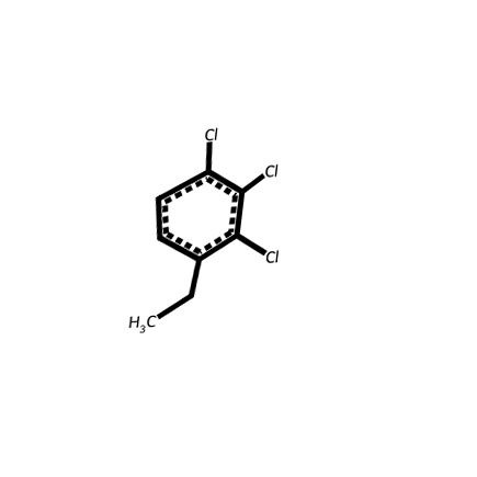 CCc1ccc(Cl)c(Cl)c1Cl